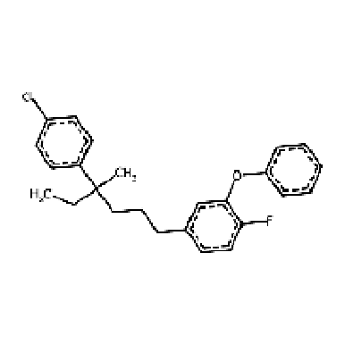 CCC(C)(CCCc1ccc(F)c(Oc2ccccc2)c1)c1ccc(Cl)cc1